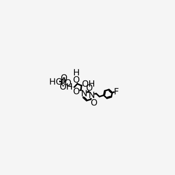 O=c1ccn([C@@H]2O[C@H](COP(=O)(O)O)[C@H](O)C2O)c(=O)n1CCc1ccc(F)cc1